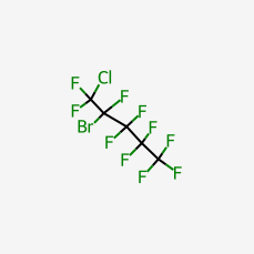 FC(F)(F)C(F)(F)C(F)(F)C(F)(Br)C(F)(F)Cl